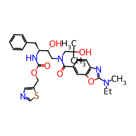 CCN(C)c1nc2ccc(C(=O)N(C[C@@H](O)[C@H](Cc3ccccc3)NC(=O)OCc3cncs3)CC(C)(C)O)cc2o1